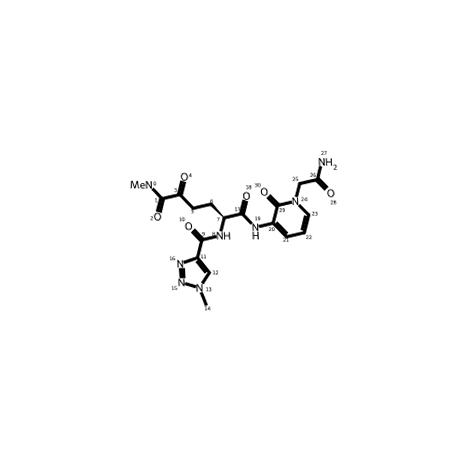 CNC(=O)C(=O)CC[C@H](NC(=O)c1cn(C)nn1)C(=O)Nc1cccn(CC(N)=O)c1=O